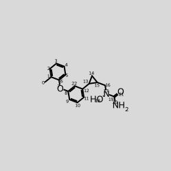 Cc1ccccc1Oc1cccc(C2CC2CN(O)C(N)=O)c1